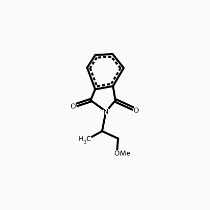 COCC(C)N1C(=O)c2ccccc2C1=O